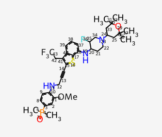 COc1cc(P(C)(C)=O)ccc1NCC#Cc1sc2c(NC3CCN(C4CC(C)(C)OC(C)(C)C4)CC3F)cccc2c1CC(F)(F)F